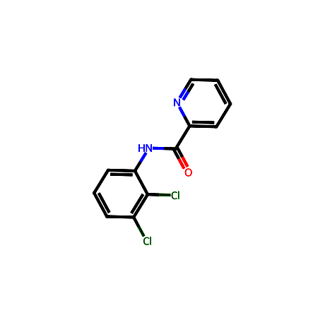 O=C(Nc1cccc(Cl)c1Cl)c1ccccn1